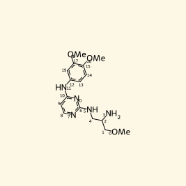 COCC(N)CNc1nccc(Nc2ccc(OC)c(OC)c2)n1